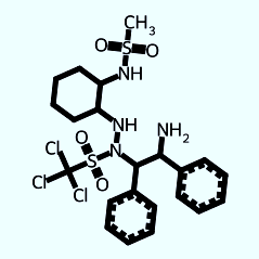 CS(=O)(=O)NC1CCCCC1NN(C(c1ccccc1)C(N)c1ccccc1)S(=O)(=O)C(Cl)(Cl)Cl